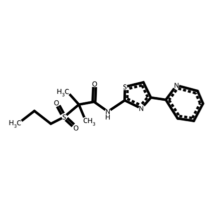 CCCS(=O)(=O)C(C)(C)C(=O)Nc1nc(-c2ccccn2)cs1